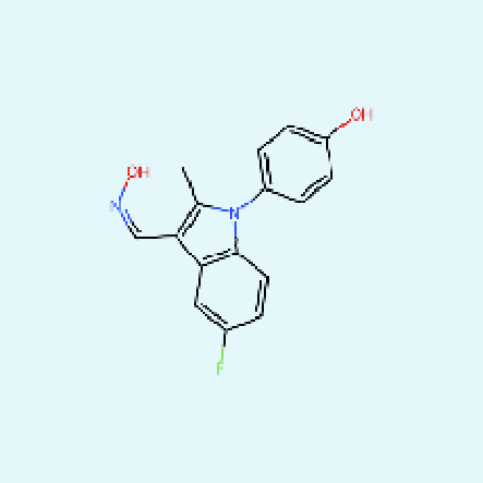 Cc1c(/C=N\O)c2cc(F)ccc2n1-c1ccc(O)cc1